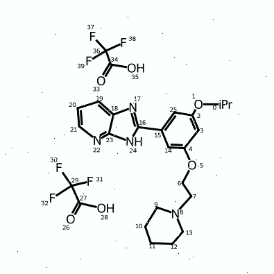 CC(C)Oc1cc(OCCN2CCCCC2)cc(-c2nc3cccnc3[nH]2)c1.O=C(O)C(F)(F)F.O=C(O)C(F)(F)F